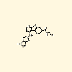 CC(C)CNC(=O)C1CCc2c(sc3ncnc(Nc4ccc5[nH]ncc5c4)c23)C1